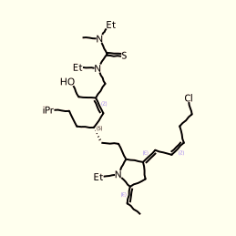 C/C=C1\C/C(=C\C=C/CCCl)C(CC[C@@H](/C=C(\CO)CN(CC)C(=S)N(C)CC)CCC(C)C)N1CC